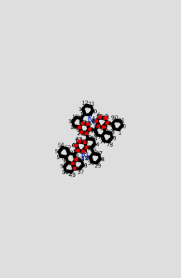 c1ccc(-c2ccc(N(c3ccccc3-c3cccc4cc(-c5ccc(-c6ccccc6N(c6ccccc6)c6ccccc6-c6cc7ccccc7c7ccccc67)c6ccccc56)ccc34)c3ccccc3-c3cc4ccccc4c4ccccc34)cc2)cc1